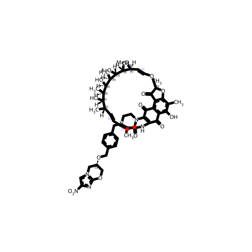 CO[C@H]1/C=C/O[C@@]2(C)Oc3c(C)c(O)c4c(c3C2=O)C(=O)C(N2CCN(Cc3ccc(CO[C@@H]5COc6nc([N+](=O)[O-])cn6C5)cc3)CC2)=C(NC(=O)/C(C)=C\C=C\[C@H](C)[C@H](O)[C@@H](C)[C@@H](O)[C@@H](C)[C@H](OC(C)=O)[C@@H]1C)C4=O